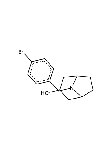 OC1CC2CCC(C1)N2Cc1ccc(Br)cc1